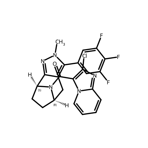 Cn1nc2c(c1-c1cc(F)c(F)c(F)c1)C[C@H]1CC[C@@H]2N1C(=O)c1c(Cl)nc2ccccn12